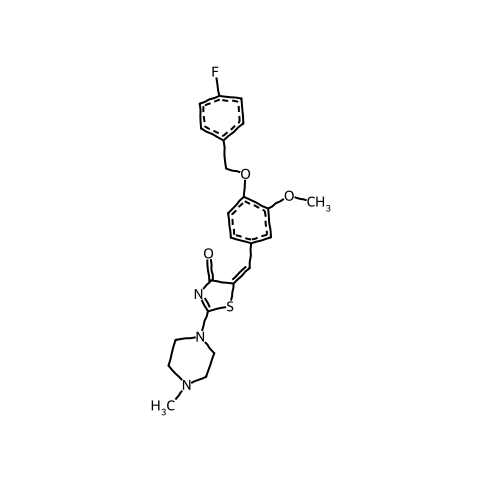 COc1cc(/C=C2/SC(N3CCN(C)CC3)=NC2=O)ccc1OCc1ccc(F)cc1